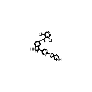 CC(Oc1ccc2[nH]nc(-c3cnc(N4CC5(CCNC5)C4)nc3)c2c1)c1c(Cl)cncc1Cl